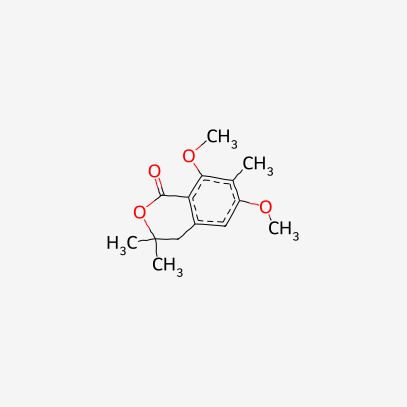 COc1cc2c(c(OC)c1C)C(=O)OC(C)(C)C2